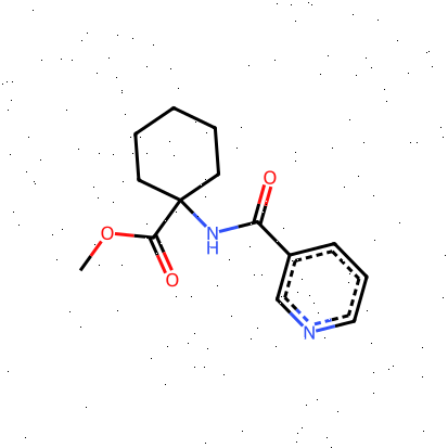 COC(=O)C1(NC(=O)c2cccnc2)CCCCC1